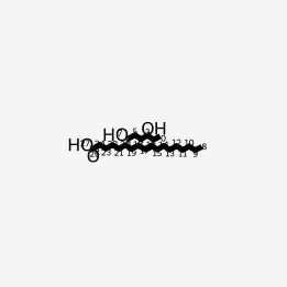 CCC(O)CCCO.CCCCCCCCC=CCCCCCCCC(=O)O